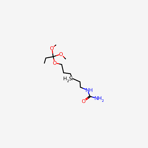 CCC(OC)(OC)OCCC[SiH2]CCNC(N)=O